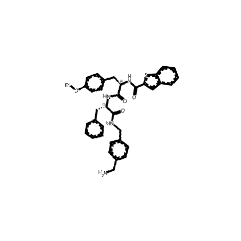 CCOc1ccc(C[C@@H](NC(=O)c2cc3ccccc3s2)C(=O)N[C@@H](Cc2ccccc2)C(=O)NCc2ccc(CN)cc2)cc1